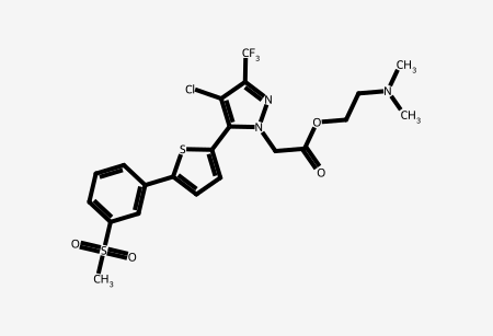 CN(C)CCOC(=O)Cn1nc(C(F)(F)F)c(Cl)c1-c1ccc(-c2cccc(S(C)(=O)=O)c2)s1